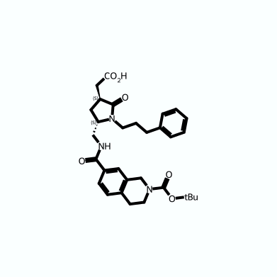 CC(C)(C)OC(=O)N1CCc2ccc(C(=O)NC[C@@H]3C[C@@H](CC(=O)O)C(=O)N3CCCc3ccccc3)cc2C1